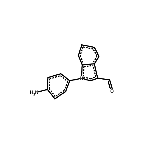 Nc1ccc(-n2cc(C=O)c3ccccc32)cc1